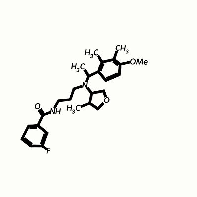 COc1ccc(C(C)N(CCCNC(=O)c2cccc(F)c2)C2COCC2C)c(C)c1C